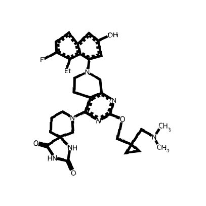 CCc1c(F)ccc2cc(O)cc(N3CCc4c(nc(OCC5(CN(C)C)CC5)nc4N4CCCC5(C4)NC(=O)NC5=O)C3)c12